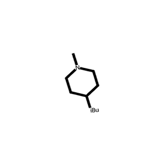 [CH2]CC(C)C1CCN(C)CC1